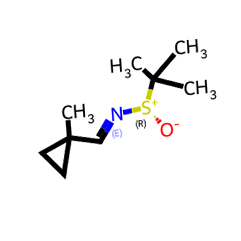 CC1(/C=N/[S@@+]([O-])C(C)(C)C)CC1